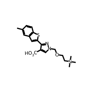 Cc1ccc2sc(-c3nn(COCC[Si](C)(C)C)cc3C(=O)O)cc2c1